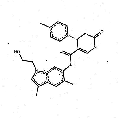 Cc1cc2c(C)cn(CCO)c2cc1NC(=O)C1=CNC(=O)C[C@H]1c1ccc(F)cc1